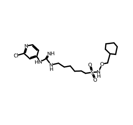 N=C(NCCCCCCS(=O)(=O)NOCC1CCCCC1)Nc1ccnc(Cl)c1